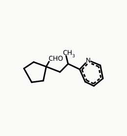 CC(CC1(C=O)CCCC1)c1ccccn1